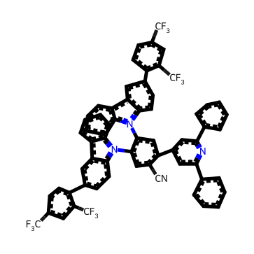 N#Cc1cc(-n2c3ccccc3c3cc(-c4ccc(C(F)(F)F)cc4C(F)(F)F)ccc32)c(-n2c3ccccc3c3cc(-c4ccc(C(F)(F)F)cc4C(F)(F)F)ccc32)cc1-c1cc(-c2ccccc2)nc(-c2ccccc2)c1